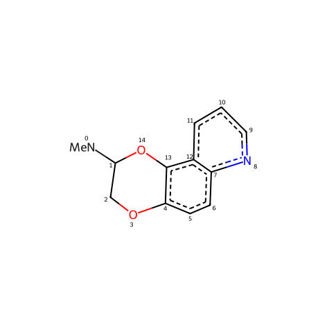 CNC1COc2ccc3ncccc3c2O1